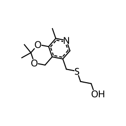 Cc1ncc(CSCCO)c2c1OC(C)(C)OC2